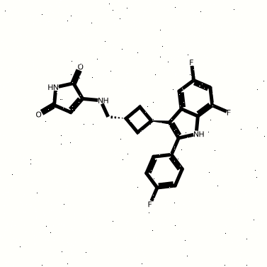 O=C1C=C(NC[C@H]2C[C@H](c3c(-c4ccc(F)cc4)[nH]c4c(F)cc(F)cc43)C2)C(=O)N1